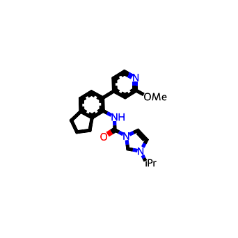 COc1cc(-c2ccc3c(c2NC(=O)N2C=CN(C(C)C)C2)CCC3)ccn1